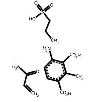 C=CC(N)=O.CCCS(=O)(=O)O.Cc1c(C(=O)O)ccc(N)c1C(=O)O